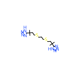 CC(C)(CCSCCCSCCC(C)(C)c1nnn[nH]1)c1nnn[nH]1